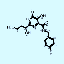 CCCC(O)c1nc(O)c(O)c(C(=O)NCc2ccc(F)cc2)n1